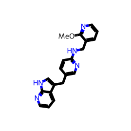 COc1ncccc1CNc1ccc(Cc2c[nH]c3ncccc23)cn1